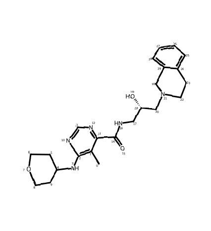 Cc1c(NC2CCOCC2)ncnc1C(=O)NC[C@H](O)CN1CCc2ccccc2C1